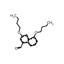 CCCCOc1cc([C]=O)c2cccc(OCCCC)c2c1